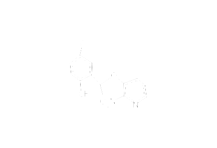 CC(Oc1cccnc1[N+](=O)[O-])c1cc(Cl)ccc1C(F)(F)F